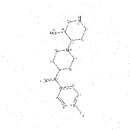 O=C(c1ccc(F)cc1)C1CCN(C2CCNCC2O)CC1